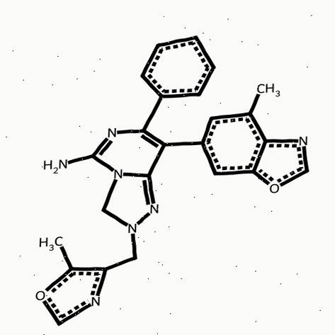 Cc1ocnc1CN1CN2C(N)=NC(c3ccccc3)=C(c3cc(C)c4ncoc4c3)C2=N1